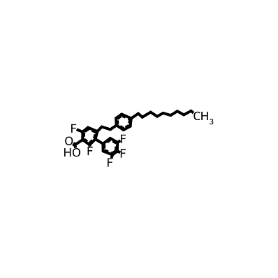 CCCCCCCCCCc1ccc(CCc2cc(F)c(C(=O)O)c(F)c2-c2cc(F)c(F)c(F)c2)cc1